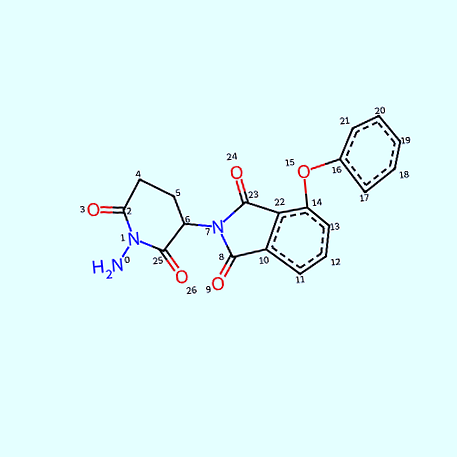 NN1C(=O)CCC(N2C(=O)c3cccc(Oc4ccccc4)c3C2=O)C1=O